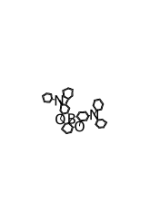 c1ccc(N(c2ccccc2)c2ccc3c(c2)Oc2cccc4c2B3c2cc3c5ccccc5n(-c5ccccc5)c3cc2O4)cc1